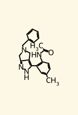 CC(=O)Nc1ccc(C)cc1-c1[nH]nc2c1CN(Cc1ccccc1)C2